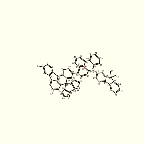 Cc1ccc2c(c1)c1cc(C)cc3c1n2-c1ccc(-c2ccc(N(c4ccc5c(c4)C(C)(C)c4ccccc4-5)c4ccccc4-c4ccccc4)cc2)cc1C31c2ccoc2-c2occc21